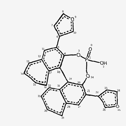 O=P1(O)Oc2c(-c3ccoc3)cc3ccccc3c2-c2c(c(-c3ccoc3)cc3ccccc23)O1